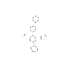 C1=CCC(Cc2c(-c3ccccc3)ccc3c2Cc2cc(-c4ccccc4)ccc2-3)=C1.[Cl-].[Cl-].[Zr+2]